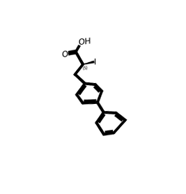 O=C(O)[C@@H](I)Cc1ccc(-c2ccccc2)cc1